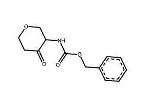 O=C(NC1COCCC1=O)OCc1ccccc1